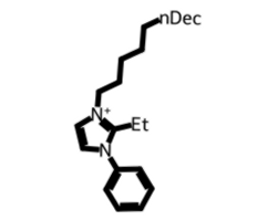 CCCCCCCCCCCCCCC[n+]1ccn(-c2ccccc2)c1CC